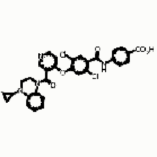 O=C(O)c1ccc(NC(=O)c2cc(Cl)c(Oc3ccncc3C(=O)N3CCN(C4CC4)c4ccccc43)cc2Cl)cc1